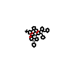 CC(C)(C)c1cc(-c2cccc3cccc(-c4ccccc4N(c4ccc(C5C=CC=CC5(C)Cc5ccccc5)c(Cc5ccccc5)c4)c4cccc5c4c4ccccc4n5-c4ccccc4)c23)cc(C(C)(C)C)c1